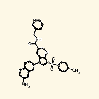 Cc1ccc(S(=O)(=O)n2cc(-c3ccc4ncc(N)cc4c3)c3cc(C(=O)NCc4cccnc4)cnc32)cc1